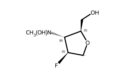 CN(O)[C@H]1[C@H](F)[CH]O[C@@H]1CO